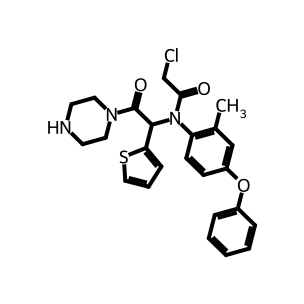 Cc1cc(Oc2ccccc2)ccc1N(C(=O)CCl)C(C(=O)N1CCNCC1)c1cccs1